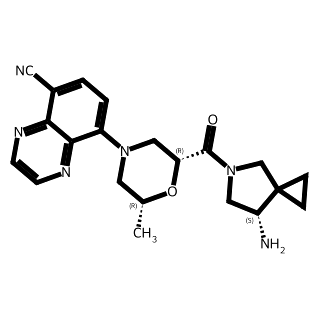 C[C@@H]1CN(c2ccc(C#N)c3nccnc23)C[C@H](C(=O)N2C[C@@H](N)C3(CC3)C2)O1